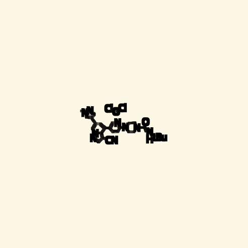 ClOCl.Cn1cc(-c2cc(-c3ccc(N4CCN(C(=O)CNC(C)(C)C)CC4)nc3)c3c(C#N)cnn3c2)cn1